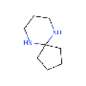 C1CNC2(CCCC2)NC1